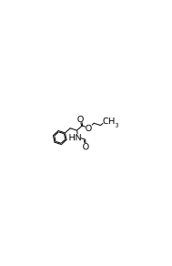 CCCOC(=O)C(Cc1ccccc1)NC=O